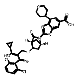 N=C(/C(CO[C@@H]1C[C@@H]2C[C@H]1C(=O)N2c1nc2c(C3CCOCC3)cc(C(=O)O)cc2s1)=C(\O)C1CC1)c1c(Cl)cccc1Cl